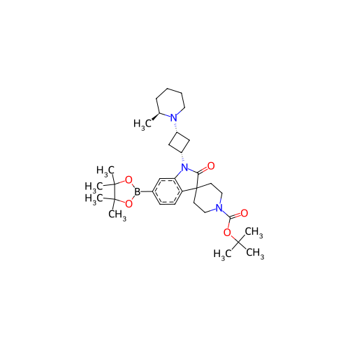 C[C@H]1CCCCN1[C@H]1C[C@@H](N2C(=O)C3(CCN(C(=O)OC(C)(C)C)CC3)c3ccc(B4OC(C)(C)C(C)(C)O4)cc32)C1